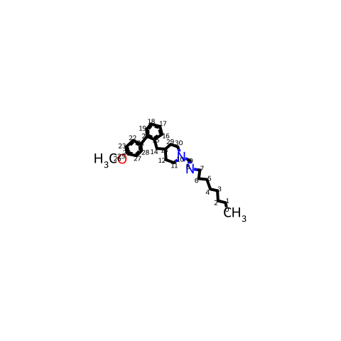 CCCCCCCCN=CN1CCC(Cc2ccccc2-c2ccc(OC)cc2)CC1